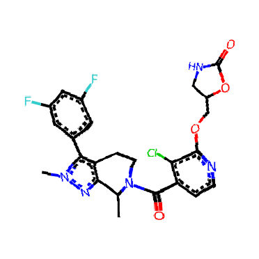 CC1c2nn(C)c(-c3cc(F)cc(F)c3)c2CCN1C(=O)c1ccnc(OCC2CNC(=O)O2)c1Cl